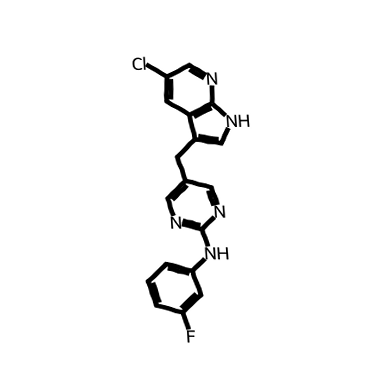 Fc1cccc(Nc2ncc(Cc3c[nH]c4ncc(Cl)cc34)cn2)c1